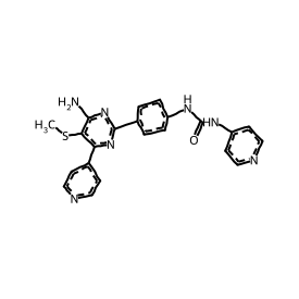 CSc1c(N)nc(-c2ccc(NC(=O)Nc3ccncc3)cc2)nc1-c1ccncc1